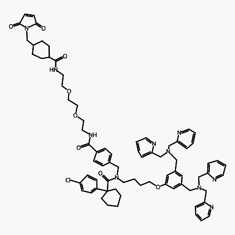 O=C(NCCOCCOCCNC(=O)C1CCC(CN2C(=O)C=CC2=O)CC1)c1ccc(CN(CCCCOc2cc(CN(Cc3ccccn3)Cc3ccccn3)cc(CN(Cc3ccccn3)Cc3ccccn3)c2)C(=O)C2(c3ccc(Cl)cc3)CCCCC2)cc1